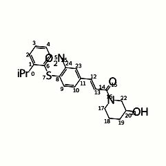 CC(C)c1ccccc1Sc1ccc(C=CC(=O)N2CCCC(O)C2)cc1[N+](=O)[O-]